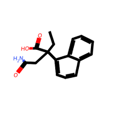 CCC(CC(N)=O)(C(=O)O)c1cccc2ccccc12